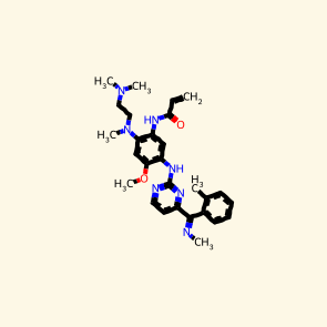 C=CC(=O)Nc1cc(Nc2nccc(/C(=N/C)c3ccccc3C)n2)c(OC)cc1N(C)CCN(C)C